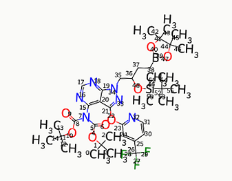 CC(C)(C)OC(=O)N(C(=O)OC(C)(C)C)c1ncnc2c1c(Oc1cc(C(F)(F)F)ccn1)nn2CC(CCB1OC(C)(C)C(C)(C)O1)O[Si](C)(C)C(C)(C)C